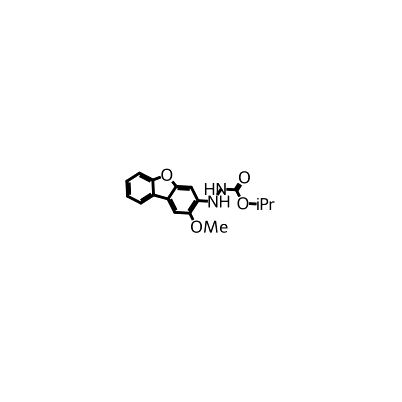 COc1cc2c(cc1NNC(=O)OC(C)C)oc1ccccc12